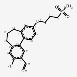 CS(=O)(=O)CCCOc1ccc2c(c1)CCCc1cc(F)c(C=O)cc1-2